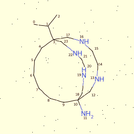 CC(C)C12CCCCCCC(N)(CNCCNC1)CNCCNC2